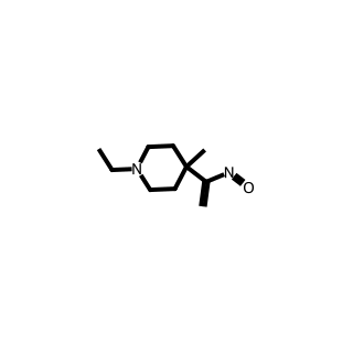 C=C(N=O)C1(C)CCN(CC)CC1